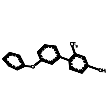 Oc1ccc(-c2cccc(Oc3ccccc3)c2)c(C(F)(F)F)c1